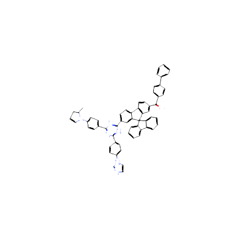 CC1CC=CN1c1ccc(-c2nc(-c3ccc(-n4ccnc4)cc3)nc(-c3ccc4c(c3)C3(c5ccccc5-c5ccccc53)c3cc(C(=O)c5ccc(-c6ccccc6)cc5)ccc3-4)n2)cc1